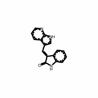 O=C1Nc2ccccc2/C1=C\c1c[nH]c2ncccc12